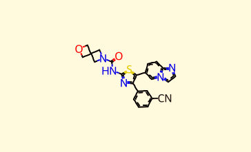 N#Cc1cccc(-c2nc(NC(=O)N3CC4(COC4)C3)sc2-c2ccc3nccn3c2)c1